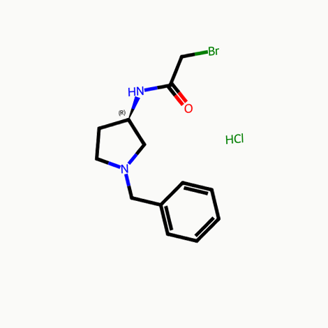 Cl.O=C(CBr)N[C@@H]1CCN(Cc2ccccc2)C1